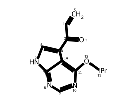 C=CC(=O)c1c[nH]c2ncnc(OC(C)C)c12